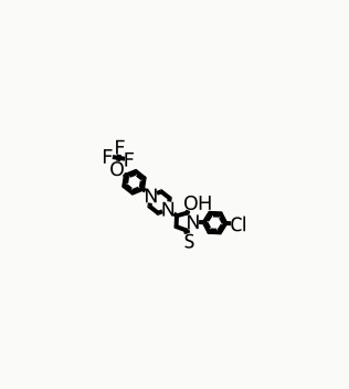 OC1C(N2CCN(c3ccc(OC(F)(F)F)cc3)CC2)CC(=S)N1c1ccc(Cl)cc1